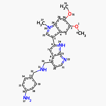 COc1cc2c(-c3cc4c(CNCc5ccc(N)cc5)ccnc4[nH]3)cn(C)c2cc1OC